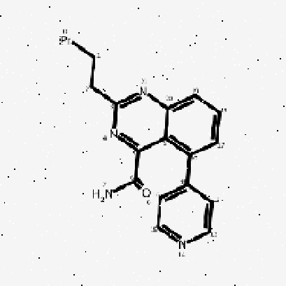 CC(C)CCc1nc(C(N)=O)c2c(-c3ccncc3)cccc2n1